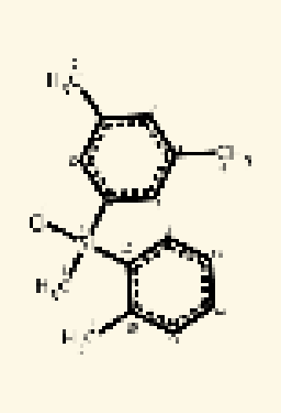 Cc1cc(C)cc([Si](C)(Cl)c2ccccc2C)c1